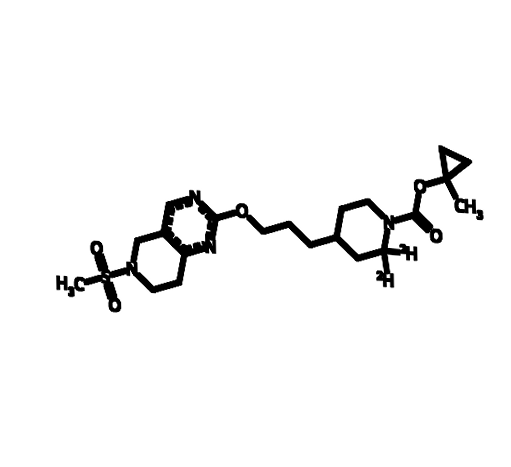 [2H]C1([2H])CC(CCCOc2ncc3c(n2)CCN(S(C)(=O)=O)C3)CCN1C(=O)OC1(C)CC1